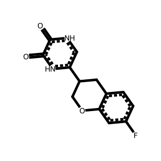 O=c1[nH]cc(C2COc3cc(F)ccc3C2)[nH]c1=O